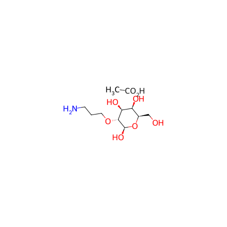 CC(=O)O.NCCCO[C@@H]1[C@@H](O)[C@@H](O)[C@@H](CO)O[C@H]1O